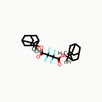 CCCC1(OC(=O)C(F)(F)C(F)(F)C(=O)OC2(C)C3CC4CC(C3)C(C)C2C4)C2CC3CC(C2)C(C)C1C3